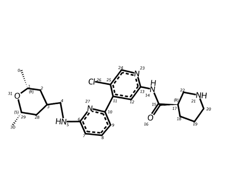 C[C@@H]1CC(CNc2cccc(-c3cc(NC(=O)[C@@H]4CCCNC4)ncc3Cl)n2)C[C@H](C)O1